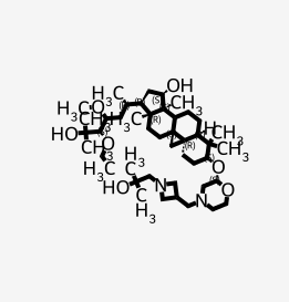 CCO[C@@H](C(C[C@@H](C)[C@H]1C[C@H](O)[C@@]2(C)C3CC[C@H]4C(C)(C)[C@@H](O[C@H]5CN(CC6CN(CC(C)(C)O)C6)CCO5)CC[C@@]45C[C@@]35CC[C@]12C)OC)C(C)(C)O